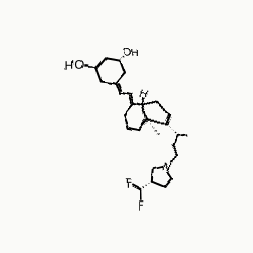 CC(CCN1CC[C@H](C(F)F)C1)[C@H]1CC[C@H]2/C(=C/C=C3C[C@@H](O)C[C@H](O)C3)CCC[C@]12C